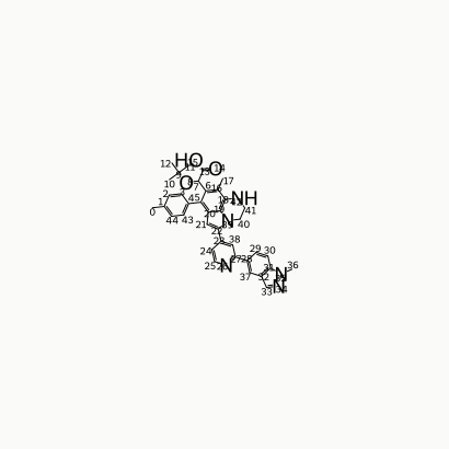 Cc1ccc(-c2c(C(OC(C)(C)C)C(=O)O)c(C)c3c4c2cc(-c2ccnc(-c5ccc6c(cnn6C)c5)c2)n4CCN3)cc1